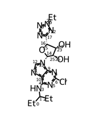 CCC(CC)Nc1nc(Cl)nc2c1ncn2[C@@H]1O[C@H](c2nnn(CC)n2)[C@@H](O)[C@H]1O